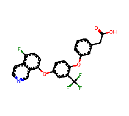 O=C(O)Cc1cccc(Oc2ccc(Oc3ccc(F)c4ccncc34)cc2C(F)(F)F)c1